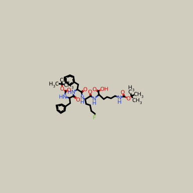 CC(C)(C)OC(=O)NCCCCC(NC(=O)C(CCCCF)NC(=O)C(Cc1ccccc1)NC(=O)C(Cc1ccccc1)NC(=O)OC(C)(C)C)C(=O)O